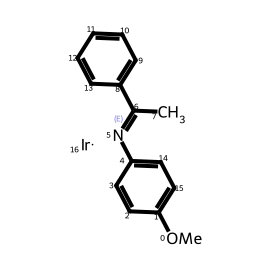 COc1ccc(/N=C(\C)c2ccccc2)cc1.[Ir]